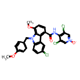 COc1ccc(Cn2c3ccc(Cl)cc3c3c(C(=O)Nc4c(Cl)c[n+]([O-])cc4Cl)ccc(OC)c32)cc1